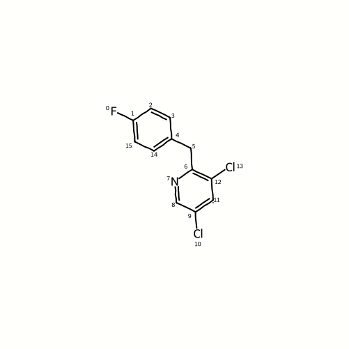 Fc1ccc(Cc2ncc(Cl)[c]c2Cl)cc1